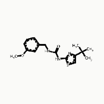 COc1cccc(CNC(=O)Nc2nc(C(C)(C)C)cs2)c1